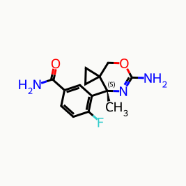 C[C@]1(c2cc(C(N)=O)ccc2F)N=C(N)OCC12CC2